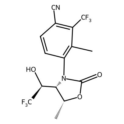 Cc1c(N2C(=O)O[C@H](C)[C@@H]2[C@H](O)C(F)(F)F)ccc(C#N)c1C(F)(F)F